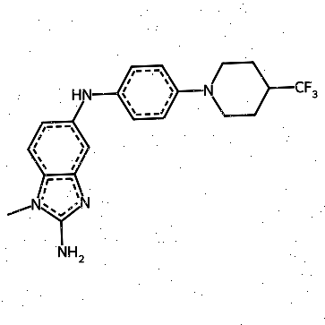 Cn1c(N)nc2cc(Nc3ccc(N4CCC(C(F)(F)F)CC4)cc3)ccc21